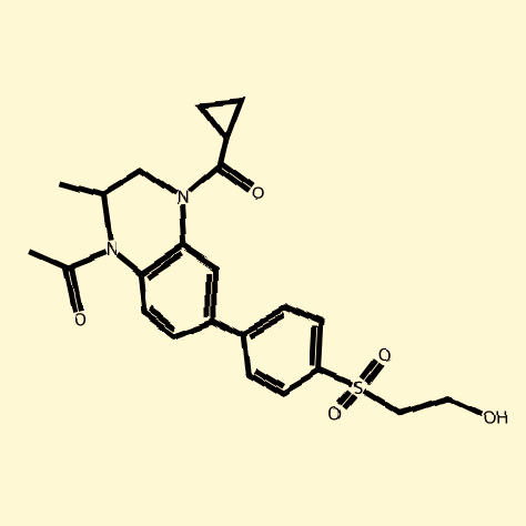 CC(=O)N1c2ccc(-c3ccc(S(=O)(=O)CCO)cc3)cc2N(C(=O)C2CC2)CC1C